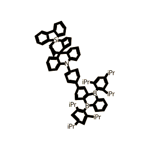 CC(C)c1cc(C(C)C)c(B2c3ccccc3B(c3c(C(C)C)cc(C(C)C)cc3C(C)C)c3cc(-c4ccc(N5c6ccccc6C6(c7ccccc75)c5ccccc5[Si]5(c7ccccc7-c7ccccc75)c5ccccc56)cc4)ccc32)c(C(C)C)c1